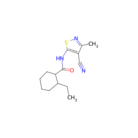 CCC1CCCCC1C(=O)Nc1snc(C)c1C#N